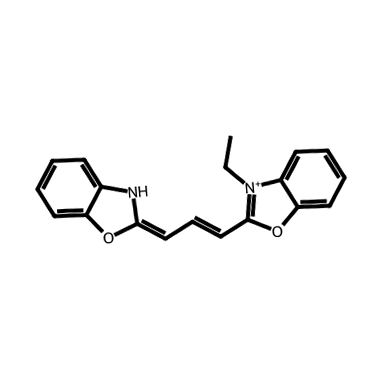 CC[n+]1c(C=CC=C2Nc3ccccc3O2)oc2ccccc21